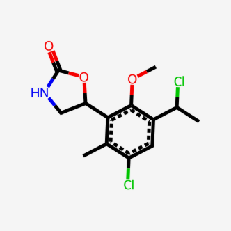 COc1c(C(C)Cl)cc(Cl)c(C)c1C1CNC(=O)O1